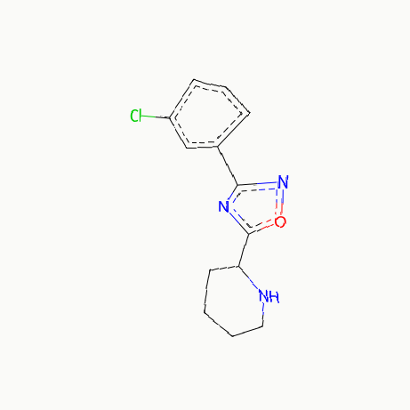 Clc1cccc(-c2noc(C3CCCCN3)n2)c1